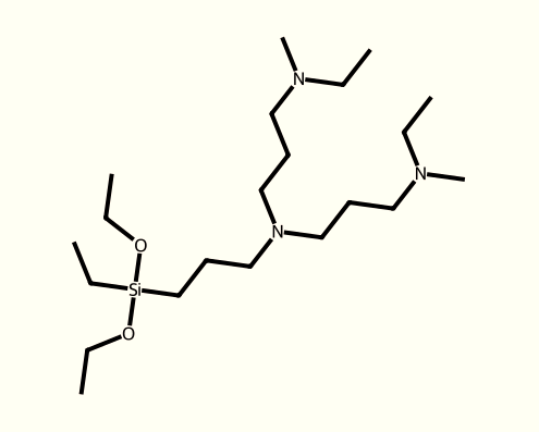 CCO[Si](CC)(CCCN(CCCN(C)CC)CCCN(C)CC)OCC